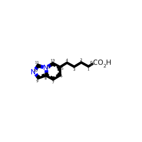 O=C(O)CCCCc1ccc2cncn2c1